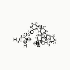 CCC(OCCOc1cccc(Oc2ccc(CN(Cc3ccccc3)c3cccc([N+](=O)[O-])c3C)cc2)c1)C(=O)O